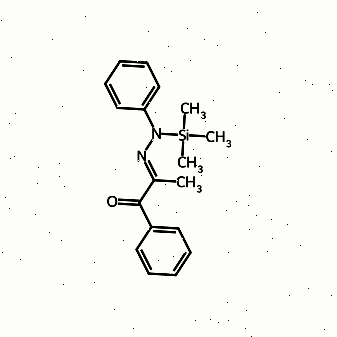 CC(=NN(c1ccccc1)[Si](C)(C)C)C(=O)c1ccccc1